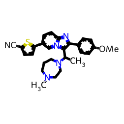 COc1ccc(-c2nc3ccc(-c4ccc(C#N)s4)cn3c2C(C)N2CCCN(C)CC2)cc1